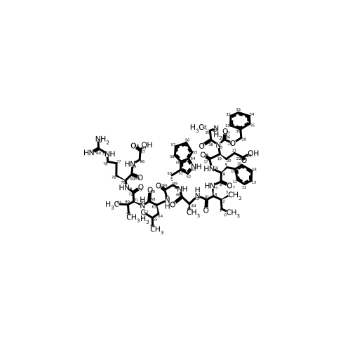 CC[C@H](C)[C@H](NC(=O)[C@H](Cc1ccccc1)NC(=O)[C@H](CCC(=O)O)N(C(=O)OCc1ccccc1)C(=O)[C@H](C)N)C(=O)N[C@@H](C)C(=O)N[C@@H](Cc1c[nH]c2ccccc12)C(=O)N[C@@H](CC(C)C)C(=O)N[C@H](C(=O)N[C@@H](CCCNC(=N)N)C(=O)NCC(=O)O)C(C)C